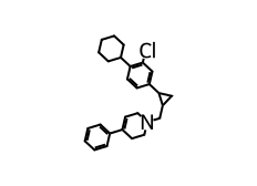 Clc1cc(C2CC2CN2CC=C(c3ccccc3)CC2)ccc1C1CCCCC1